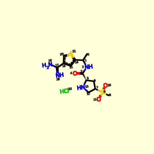 CC(NC(=O)[C@@H]1C[C@@H](S(C)(=O)=O)CN1)c1cc(C(=N)N)cs1.Cl